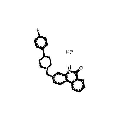 Cl.O=c1[nH]c2cc(CN3CCC(c4ccc(F)cc4)CC3)ccc2c2ccccc12